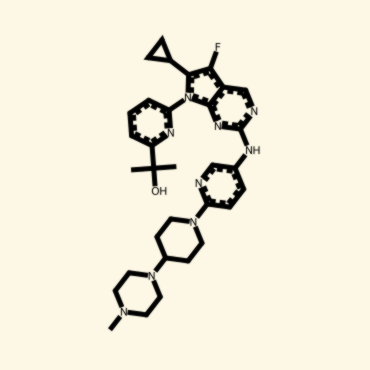 CN1CCN(C2CCN(c3ccc(Nc4ncc5c(F)c(C6CC6)n(-c6cccc(C(C)(C)O)n6)c5n4)cn3)CC2)CC1